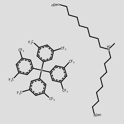 CCCCCCCCCCCCCCCCCC[NH+](C)CCCCCCCCCCCCCCCCCC.FC(F)(F)c1cc([B-](c2cc(C(F)(F)F)cc(C(F)(F)F)c2)(c2cc(C(F)(F)F)cc(C(F)(F)F)c2)c2cc(C(F)(F)F)cc(C(F)(F)F)c2)cc(C(F)(F)F)c1